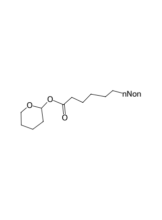 CCCCCCCCCCCCCCC(=O)OC1CCCCO1